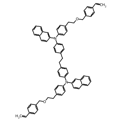 C=Cc1ccc(COCCc2ccc(N(c3ccc(CCc4ccc(N(c5ccc(CCOCc6ccc(C=C)cc6)cc5)c5ccc6ccccc6c5)cc4)cc3)c3ccc4ccccc4c3)cc2)cc1